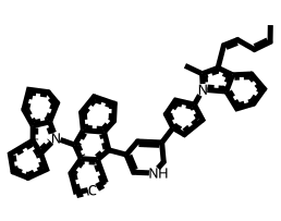 C/C=C\C=C/c1c(C)n(-c2ccc(C3=CC(c4c5ccccc5c(-n5c6ccccc6c6ccccc65)c5ccccc45)=CNC3)cc2)c2ccccc12